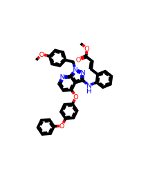 COC(=O)C=Cc1ccccc1Nc1nn(Cc2ccc(OC)cc2)c2nccc(Oc3ccc(Oc4ccccc4)cc3)c12